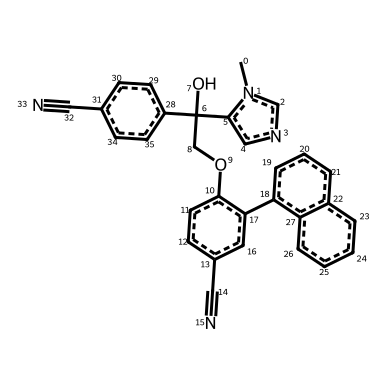 Cn1cncc1C(O)(COc1ccc(C#N)cc1-c1cccc2ccccc12)c1ccc(C#N)cc1